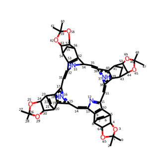 CC1(C)OC2C3C=CC(C4=C3C3=NC/4=C\c4[nH]c(c5c4C4C=CC5C5OC(C)(C)OC45)/C=C4\NC(/C=c5\[nH]/c(c6c5C5CC6C6OC(C)(C)OC56)=C\3)C3=C4C4CC3C3OC(C)(C)OC43)C2O1